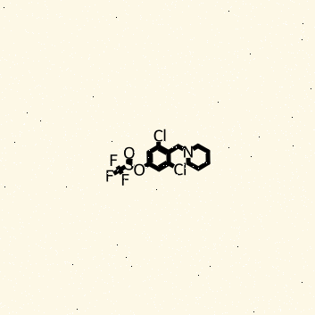 O=S(Oc1cc(Cl)c(CN2CCCCC2)c(Cl)c1)C(F)(F)F